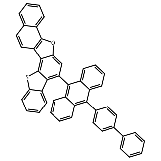 c1ccc(-c2ccc(-c3c4ccccc4c(-c4cc5oc6c7ccccc7ccc6c5c5sc6ccccc6c45)c4ccccc34)cc2)cc1